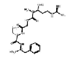 N=C(N)NCCC(C=O)[C@H](N)C(=O)NCC(=O)N[C@@H](CC(=O)O)C(=O)N[C@@H](Cc1ccccc1)C(=O)O